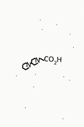 O=C(O)CCN1CCC(N2CCCCC2)CC1